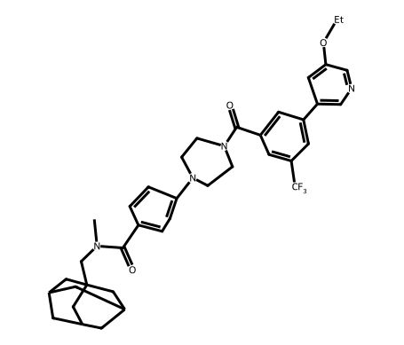 CCOc1cncc(-c2cc(C(=O)N3CCN(c4ccc(C(=O)N(C)CC56CC7CC(CC(C7)C5)C6)cc4)CC3)cc(C(F)(F)F)c2)c1